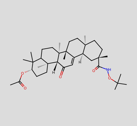 CC(=O)O[C@H]1CC[C@@]2(C)C(CC[C@]3(C)[C@@H]2C(=O)C=C2[C@@H]4C[C@@](C)(C(=O)NOC(C)(C)C)CC[C@]4(C)CC[C@]23C)C1(C)C